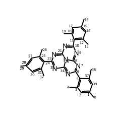 Cc1cc(C)c(C2=NC3=NC(c4c(C)cc(C)cc4C)=NC4=NC(c5c(C)cc(C)cc5C)=NC(=N2)N34)c(C)c1